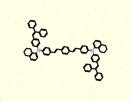 C(=C(c1ccccc1)c1ccccc1)c1ccc(N(c2ccc(/C=C/c3ccc(/C=C/c4ccc(N(c5ccc(C=C(c6ccccc6)c6ccccc6)cc5)c5cccc6c5CCCC6)cc4)cc3)cc2)c2cccc3c2CCCC3)cc1